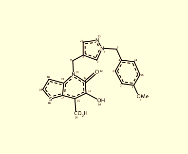 COc1ccc(Cn2cc(Cn3c(=O)c(O)c(C(=O)O)c4sccc43)cn2)cc1